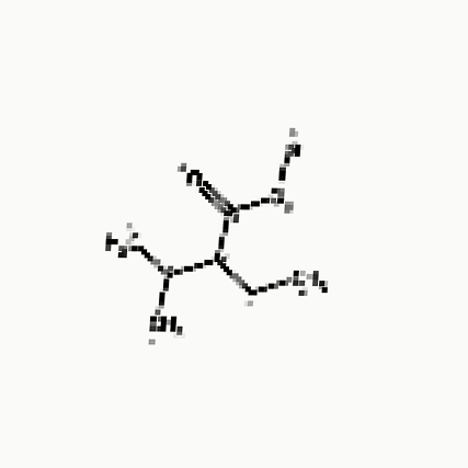 CCC(C(=O)OBr)C(C)C